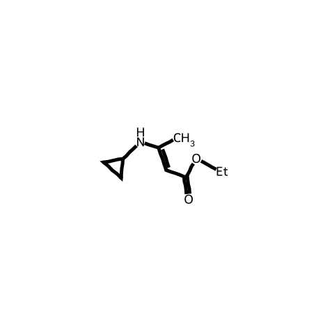 CCOC(=O)C=C(C)NC1CC1